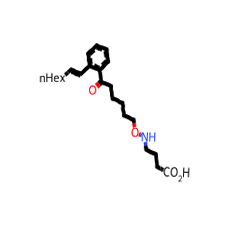 CCCCCCC=Cc1ccccc1C(=O)CCCCCONCCCC(=O)O